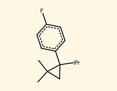 CC(C)C1(c2ccc(F)cc2)CC1(C)C